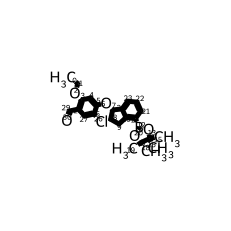 CCOc1cc(OC2CCc3c(B4OC(C)(C)C(C)(C)O4)cccc32)c(Cl)cc1C=O